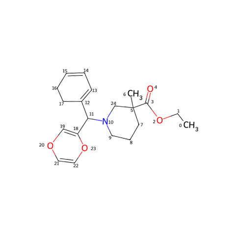 CCOC(=O)C1(C)CCCN(C(C2=CC=CCC2)C2=COC=CO2)C1